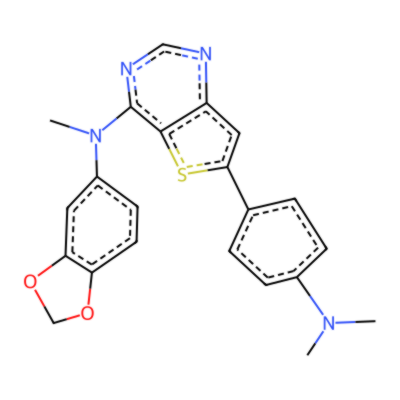 CN(C)c1ccc(-c2cc3ncnc(N(C)c4ccc5c(c4)OCO5)c3s2)cc1